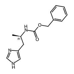 C[C@H](Cc1c[nH]cn1)NC(=O)OCc1ccccc1